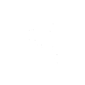 O=C1C=COC1C(=O)N(CCCN1CCCC1=O)c1nc(C2Oc3ccccc3C2=O)cs1